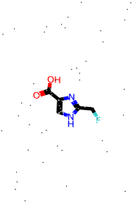 O=C(O)c1c[nH]c(CF)n1